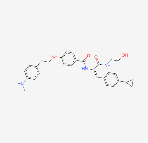 CN(C)c1ccc(CCOc2ccc(C(=O)NC(=Cc3ccc(C4CC4)cc3)C(=O)NCCO)cc2)cc1